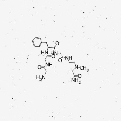 CN(CCNC(=O)CNC(=O)[C@H](Cc1ccccc1)NC(=O)CNC(=O)CN)CC(N)=O